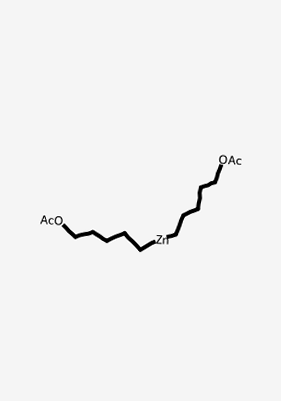 CC(=O)OCCCC[CH2][Zn][CH2]CCCCOC(C)=O